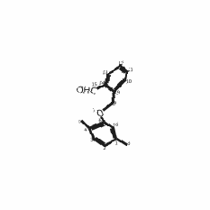 Cc1ccc(C)c(OCc2ccccc2C=O)c1